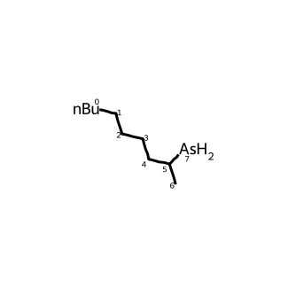 CCCCCCCCC(C)[AsH2]